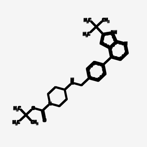 CC(C)(C)OC(=O)N1CCC(NCc2ccc(-c3ccnc4[nH]c(C(C)(C)C)cc34)cc2)CC1